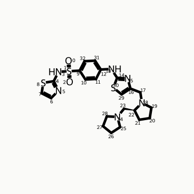 O=S(=O)(Nc1nccs1)c1ccc(Nc2nc(CN3CCC[C@H]3CN3CCCC3)cs2)cc1